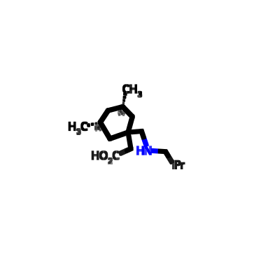 CC(C)CNCC1(CC(=O)O)C[C@H](C)C[C@H](C)C1